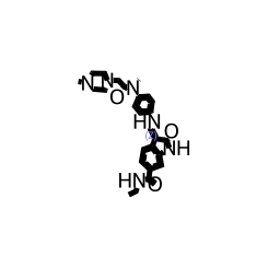 CCNC(=O)c1ccc2c(c1)NC(=O)/C2=C\Nc1ccc(N(C)C(=O)CN2CCN(C)CC2)cc1